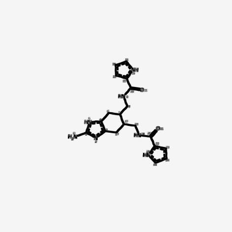 Nc1nc2c([nH]1)CC(CNC(=O)c1ccc[nH]1)C(CNC(=O)c1ccc[nH]1)C2